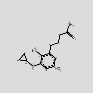 Cl.NC(=O)CCCc1cccc(NC2CC2)c1O